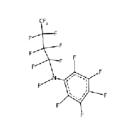 Fc1c(F)c(F)c(N(F)C(F)(F)C(F)(F)C(F)(F)C(F)(F)F)c(F)c1F